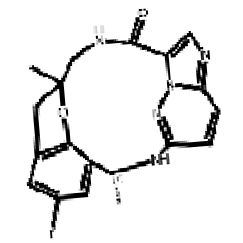 C[C@H]1Nc2ccc3ncc(n3n2)C(=O)NCC2(C)Cc3cc(F)cc1c3O2